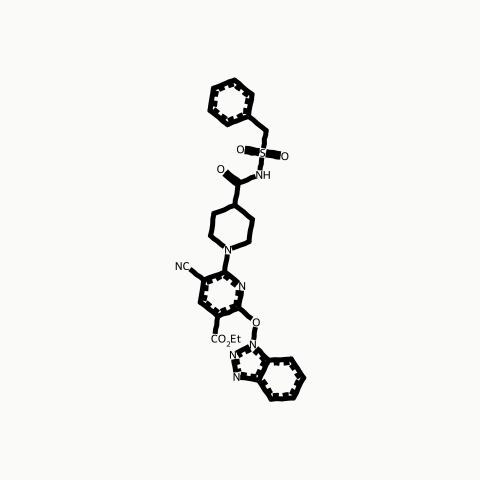 CCOC(=O)c1cc(C#N)c(N2CCC(C(=O)NS(=O)(=O)Cc3ccccc3)CC2)nc1On1nnc2ccccc21